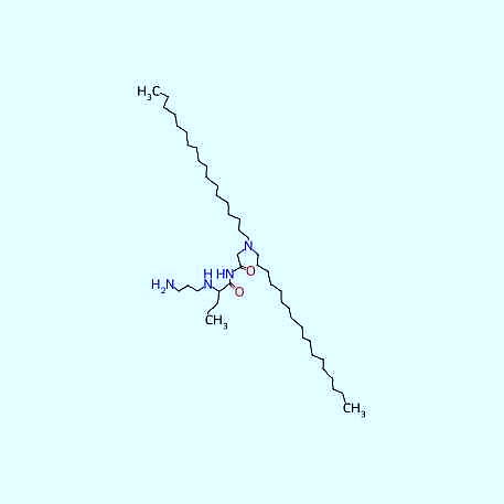 CCCCCCCCCCCCCCCCCCN(CCCCCCCCCCCCCCCCCC)CC(=O)NC(=O)C(CCC)NCCCN